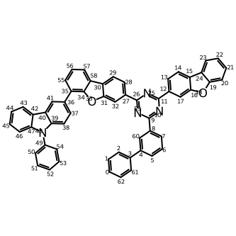 c1ccc(-c2cccc(-c3nc(-c4ccc5c(c4)oc4ccccc45)nc(-c4ccc5c(c4)oc4c(-c6ccc7c(c6)c6ccccc6n7-c6ccccc6)cccc45)n3)c2)cc1